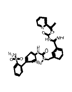 CCCCN(Cc1cccc(C(=N)NC(=O)OC(C)c2ccccn2)c1)C(=O)Nc1ccc(-c2ccccc2S(N)(=O)=O)cc1